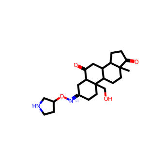 CC12CCC3C(CC(=O)C4C/C(=N\OC5CCNC5)CCC43CO)C1CCC2=O